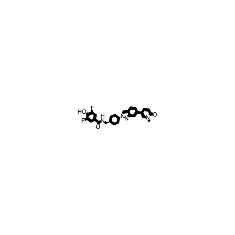 Cn1cc(-c2ccc3cn([C@H]4CC[C@H](CNC(=O)c5cc(F)c(O)c(F)c5)CC4)nc3c2)ccc1=O